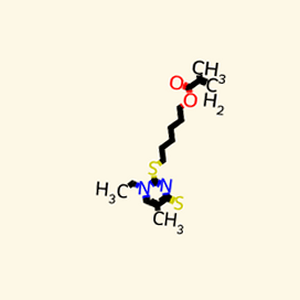 C=C(C)C(=O)OCCCCCCSc1nc(=S)c(C)cn1CC